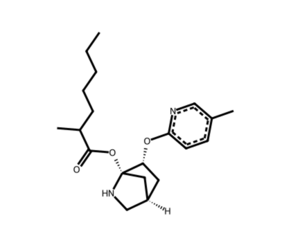 CCCCCC(C)C(=O)O[C@]12C[C@H](CN1)C[C@H]2Oc1ccc(C)cn1